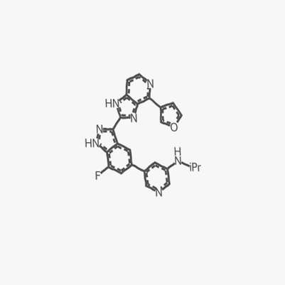 CC(C)Nc1cncc(-c2cc(F)c3[nH]nc(-c4nc5c(-c6ccoc6)nccc5[nH]4)c3c2)c1